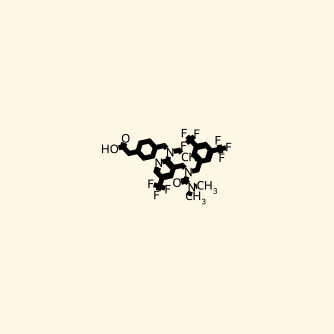 CCN(CC1CCC(CC(=O)O)CC1)c1ncc(C(F)(F)F)cc1CN(Cc1cc(C(F)(F)F)cc(C(F)(F)F)c1)C(=O)N(C)C